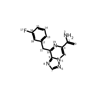 C=C(N)c1cn2ncnc2c(Cc2cccc(F)c2)n1